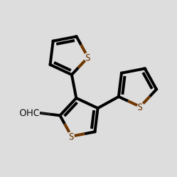 O=Cc1scc(-c2cccs2)c1-c1cccs1